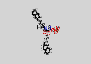 CS(=O)(=O)COC(C(=O)O)C(OCCCCCc1ccc2ccccc2c1)C(=O)NCCCCCc1ccc2ccccc2c1